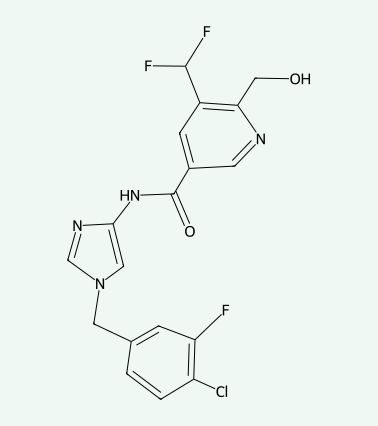 O=C(Nc1cn(Cc2ccc(Cl)c(F)c2)cn1)c1cnc(CO)c(C(F)F)c1